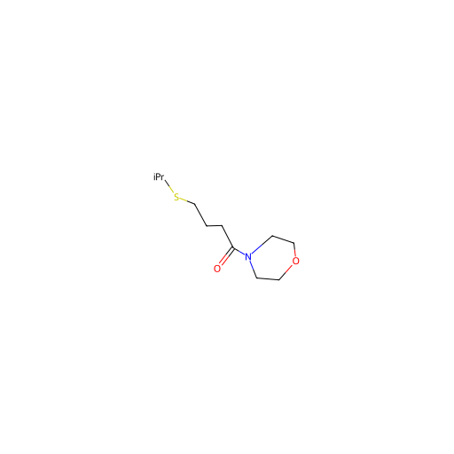 CC(C)SCCCC(=O)N1CCOCC1